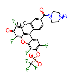 Cc1cc(C(=O)N2CCNCC2)ccc1-c1c2cc(F)c(=O)c(F)c-2oc2c(F)c(OS(=O)(=O)C(F)(F)F)c(F)cc12